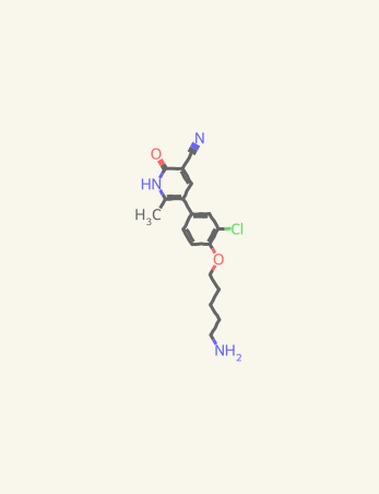 Cc1[nH]c(=O)c(C#N)cc1-c1ccc(OCCCCCN)c(Cl)c1